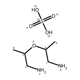 CC(CN)OC(C)CN.O=S(=O)(O)O